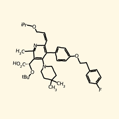 Cc1nc(/C=C\COC(C)C)c(-c2ccc(OCCc3ccc(F)cc3)cc2)c(N2CCC(C)(C)CC2)c1[C@H](OC(C)(C)C)C(=O)O